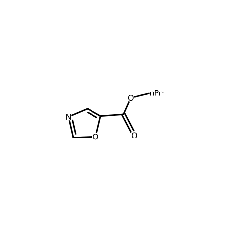 CC[CH]OC(=O)c1cnco1